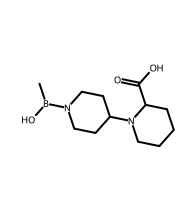 CB(O)N1CCC(N2CCCCC2C(=O)O)CC1